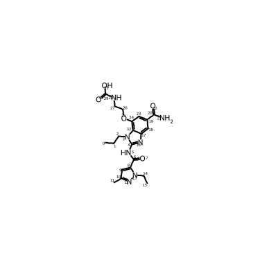 CCCn1c(NC(=O)c2cc(C)nn2CC)nc2cc(C(N)=O)cc(OCCNC(=O)O)c21